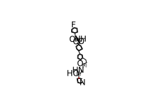 O=C(NS(=O)(=O)c1ccc(-c2ccc3c(c2)CC[C@H](CNC[C@@H](O)c2cccnc2)O3)cc1)c1ccc(F)cc1